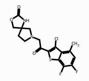 Cc1cc(F)c(F)c2sc(C(=O)CN3CCC4(COC(=O)N4)C3)c(Cl)c12